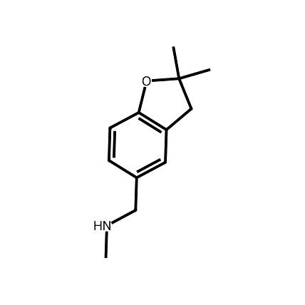 CNCc1ccc2c(c1)CC(C)(C)O2